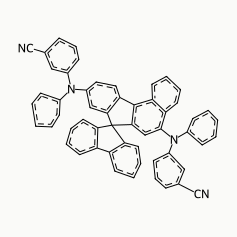 N#Cc1cccc(N(c2ccccc2)c2ccc3c(c2)C2(c4ccccc4-c4ccccc42)c2cc(N(c4ccccc4)c4cccc(C#N)c4)c4ccccc4c2-3)c1